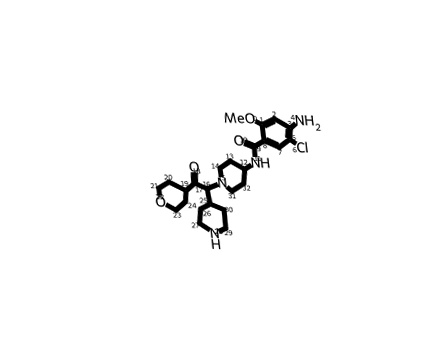 COc1cc(N)c(Cl)cc1C(=O)NC1CCN(C(C(=O)C2CCOCC2)C2CCNCC2)CC1